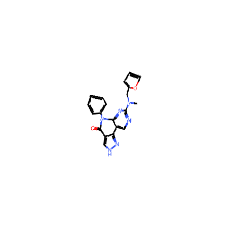 CN(Cc1ccco1)c1ncc2c3n[nH]cc3c(=O)n(-c3ccccc3)c2n1